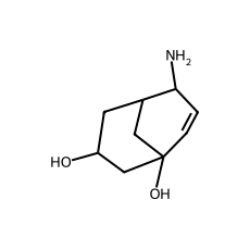 NC1C=CC2(O)CC(O)CC1C2